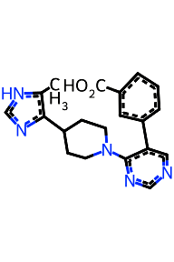 Cc1[nH]cnc1C1CCN(c2ncncc2-c2cccc(C(=O)O)c2)CC1